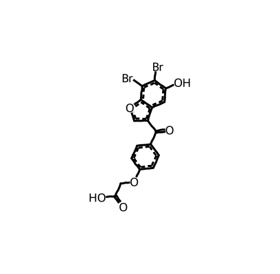 O=C(O)COc1ccc(C(=O)c2coc3c(Br)c(Br)c(O)cc23)cc1